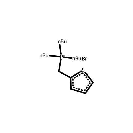 CCCC[P+](CCCC)(CCCC)Cc1cccs1.[Br-]